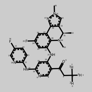 [2H]C([2H])([2H])CC(=O)c1cnc(Nc2ccc(F)cn2)cc1Nc1cc(F)cc2c1N(C)[C@H](C)c1cn(C)nc1-2